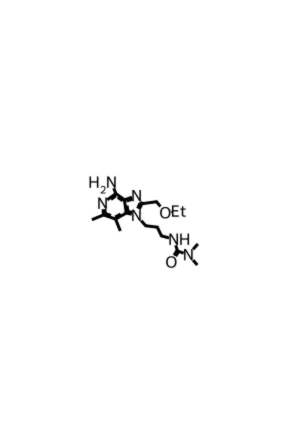 CCOCc1nc2c(N)nc(C)c(C)c2n1CCCNC(=O)N(C)C